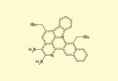 Bc1nc2c3cc4ccccc4c(CC(C)(C)C)c3n3c4ccccc4c4c(CC(C)(C)C)cc(c1B)c2c43